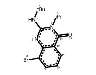 CC(C)n1c(NC(C)(C)C)nc2c(Br)cccc2c1=O